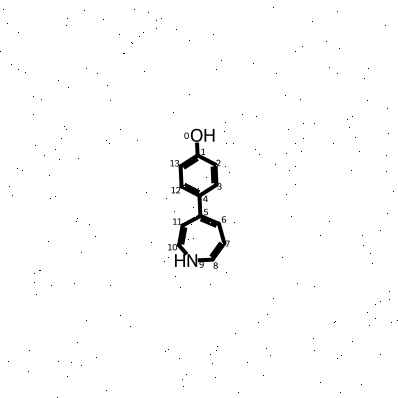 Oc1ccc(C2=CC=CNC=C2)cc1